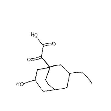 CCC1CC2CC(O)CC(C(=O)C(=O)O)(C1)C2